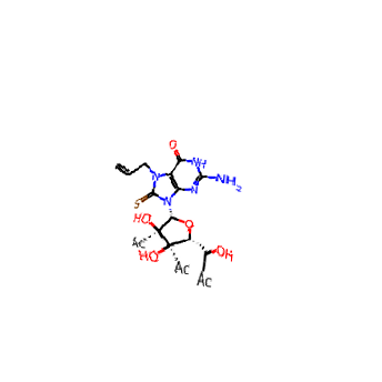 C=CCn1c(=S)n([C@@H]2O[C@H](C(O)C(C)=O)[C@](O)(C(C)=O)[C@]2(O)C(C)=O)c2nc(N)[nH]c(=O)c21